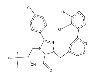 O=CC1N(Cc2ccnc(-c3cccc(Cl)c3Cl)c2)N=C(c2ccc(Cl)cc2)N1C[C@H](O)C(F)(F)F